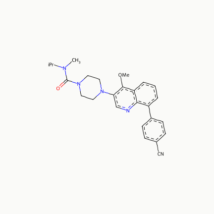 COc1c(N2CCN(C(=O)N(C)C(C)C)CC2)cnc2c(-c3ccc(C#N)cc3)cccc12